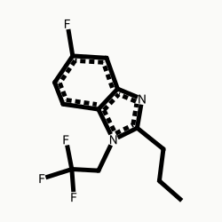 CCCc1nc2cc(F)ccc2n1CC(F)(F)F